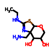 CCNC1=NC2(CN)C(OCC(O)C2O)S1